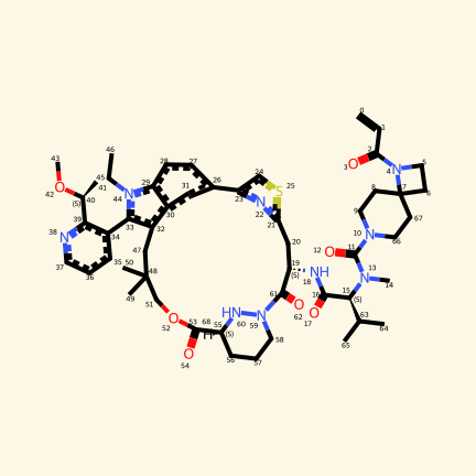 C=CC(=O)N1CCC12CCN(C(=O)N(C)[C@H](C(=O)N[C@H]1Cc3nc(cs3)-c3ccc4c(c3)c(c(-c3cccnc3[C@H](C)OC)n4CC)CC(C)(C)COC(=O)[C@@H]3CCCN(N3)C1=O)C(C)C)CC2